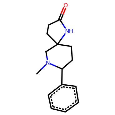 CN1CC2(CCC(=O)N2)CCC1c1ccccc1